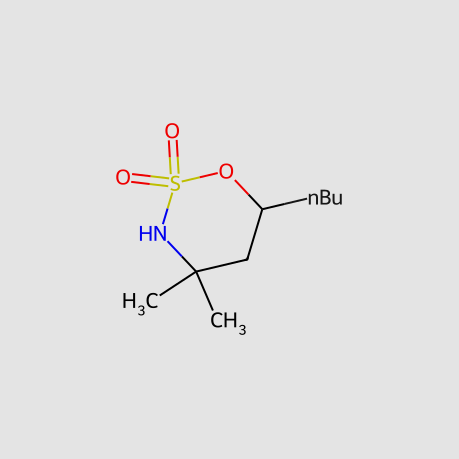 CCCCC1CC(C)(C)NS(=O)(=O)O1